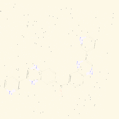 O=C(c1ccc2ncc(-c3cccnc3)nc2c1)c1ccc2ncc(-c3cccnc3)nc2c1